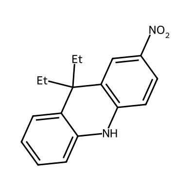 CCC1(CC)c2ccccc2Nc2ccc([N+](=O)[O-])cc21